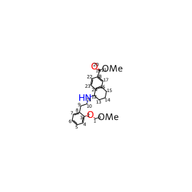 COCOc1ccccc1CCNC1CCCc2cc(C(=O)OC)ccc21